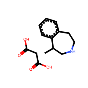 CC1CNCCc2ccccc21.O=C(O)CC(=O)O